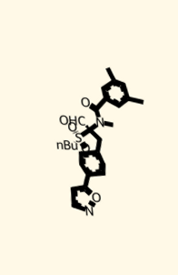 CCCCS(=O)(=O)[C@@]([C]=O)(Cc1ccc(-c2ccno2)cc1)N(C)C(=O)c1cc(C)cc(C)c1